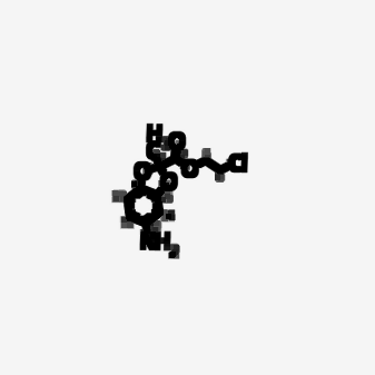 CC1(C(=O)OCCCl)Oc2ccc(N)cc2O1